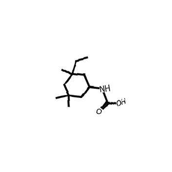 CCC1(C)CC(NC(=O)O)CC(C)(C)C1